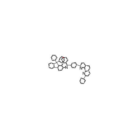 c1ccc(-c2ccc3ccc4ccc(-c5ccc(-c6nc7ccc8c(c7c7ccccc67)C(c6ccccc6)(c6ccccc6)c6ccccc6-8)cc5)nc4c3n2)cc1